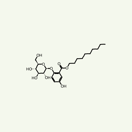 CCCCCCCCCCOC(=O)c1cc(O)ccc1O[C@@H]1O[C@H](CO)[C@@H](O)[C@H](O)[C@H]1O